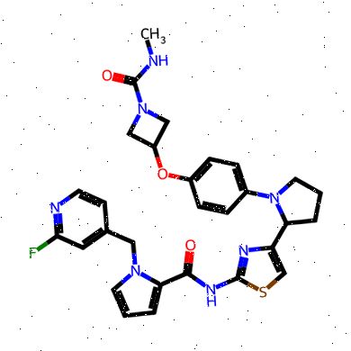 CNC(=O)N1CC(Oc2ccc(N3CCCC3c3csc(NC(=O)c4cccn4Cc4ccnc(F)c4)n3)cc2)C1